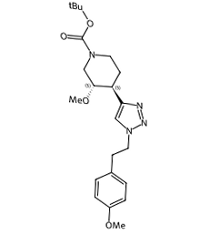 COc1ccc(CCn2cc([C@@H]3CCN(C(=O)OC(C)(C)C)C[C@H]3OC)nn2)cc1